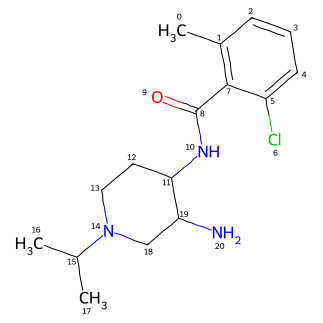 Cc1cccc(Cl)c1C(=O)NC1CCN(C(C)C)CC1N